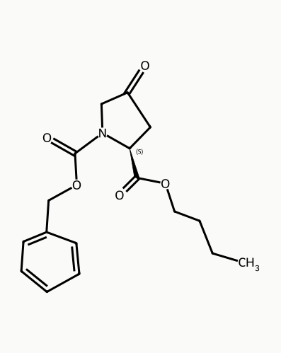 CCCCOC(=O)[C@@H]1CC(=O)CN1C(=O)OCc1ccccc1